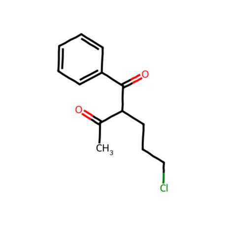 CC(=O)C(CCCCl)C(=O)c1ccccc1